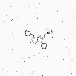 CNCCN1N=C2C(=Cc3ccccc3)CCCC2C1c1ccccc1